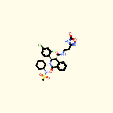 CS(=O)(=O)N[C@H]1CCCC[C@@H]1N1C(=O)c2ccccc2[C@@H](C(=O)NCCc2noc(=O)[nH]2)[C@@H]1c1ccc(Cl)cc1Cl